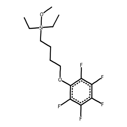 CC[Si](CC)(CCCCOc1c(F)c(F)c(F)c(F)c1F)OC